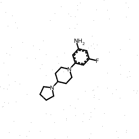 Nc1cc(F)cc(N2CCC(N3CCCC3)CC2)c1